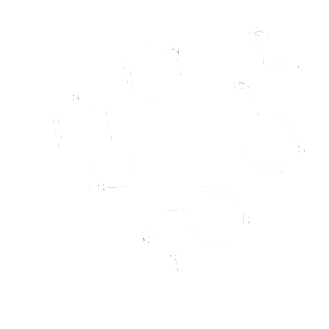 CCCCC(=O)Nc1cncc(-c2cc3c(-c4cc5c(-c6ccncc6)nccc5[nH]4)n[nH]c3cn2)c1